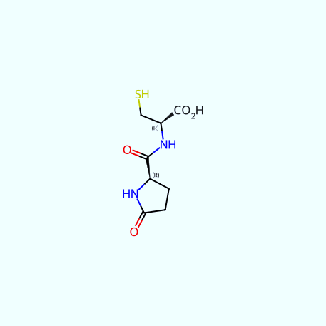 O=C1CC[C@H](C(=O)N[C@@H](CS)C(=O)O)N1